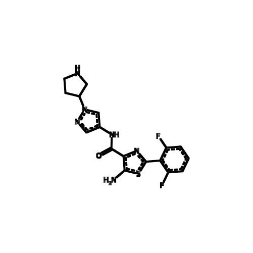 Nc1sc(-c2c(F)cccc2F)nc1C(=O)Nc1cnn(C2CCNC2)c1